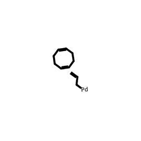 C1=C\CC/C=C\CC/1.C=C[CH2][Pd]